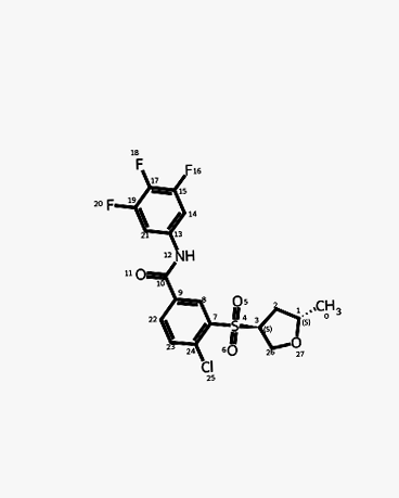 C[C@H]1C[C@H](S(=O)(=O)c2cc(C(=O)Nc3cc(F)c(F)c(F)c3)ccc2Cl)CO1